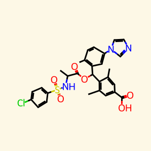 Cc1ccc(-n2ccnc2)cc1C(OC(=O)C(C)NS(=O)(=O)c1ccc(Cl)cc1)c1c(C)cc(C(=O)O)cc1C